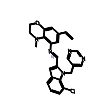 C=Cc1cc(/N=C/c2cc3cccc(Cl)c3n2Cc2cncnc2)c2c(c1)OCCN2C